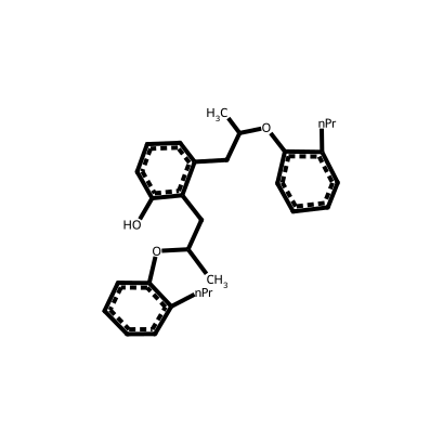 CCCc1ccccc1OC(C)Cc1cccc(O)c1CC(C)Oc1ccccc1CCC